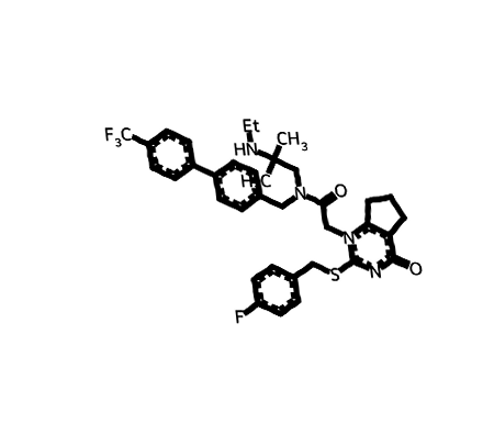 CCNC(C)(C)CN(Cc1ccc(-c2ccc(C(F)(F)F)cc2)cc1)C(=O)Cn1c(SCc2ccc(F)cc2)nc(=O)c2c1CCC2